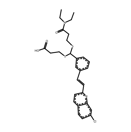 CCN(CC)C(=O)CCSC(SCCC(=O)O)c1cccc(/C=C/c2ccc3ccc(Cl)cc3n2)c1